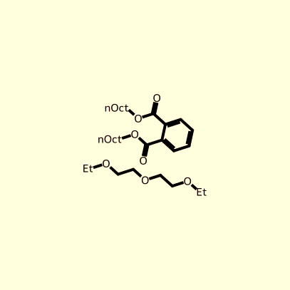 CCCCCCCCOC(=O)c1ccccc1C(=O)OCCCCCCCC.CCOCCOCCOCC